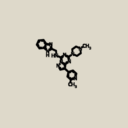 Cc1cc(-c2cnn3c(NCc4nc5ccccc5[nH]4)nc(N4CCN(C)CC4)nc23)ccn1